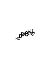 C=C1CC[C@H](O)C/C1=C/C=C1\CCC[C@]2(C)[C@@H]([C@H](C)COC(=O)CI)CC[C@@H]12